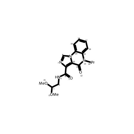 COC(CNC(=O)c1ncn2c1c(=O)n(C(C)C)c1ccccc12)OC